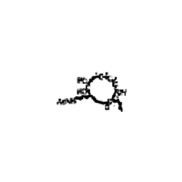 C=C/C=C\[C@H](C)[C@@H]1OC(=O)/C=C\C=C\C(CCCCNC(C)=O)[C@@H](O)C[C@H](O)/C=C\[C@H](C)C[C@@H](C)C[C@@H](C)CC[C@@H](O)[C@@H]1C